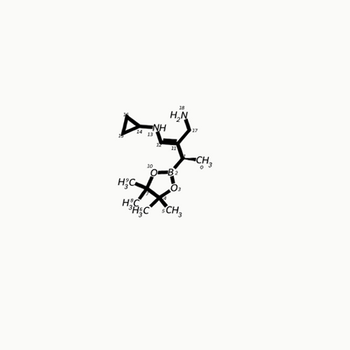 C[C@@H](B1OC(C)(C)C(C)(C)O1)C(=CNC1CC1)CN